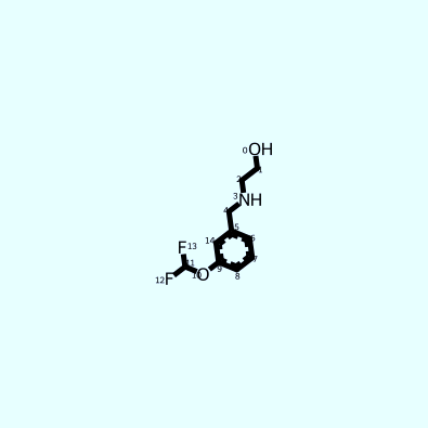 OCCNCc1cccc(OC(F)F)c1